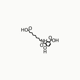 O=C(O)CCCCCCCNC(=O)c1cc(C(=O)O)ccc1O